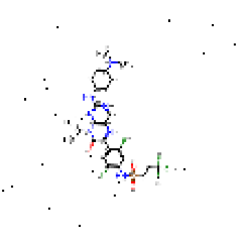 CC(C)n1c(=O)c(-c2cc(F)c(NS(=O)(=O)CCC(F)(F)F)cc2F)nc2cnc(N[C@H]3CC[C@H](N(C)C)CC3)nc21